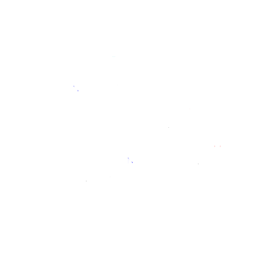 O=C(O)C1CN(C2CC2)c2c(cc(F)c3c2CCCC2CCCN32)C1=O